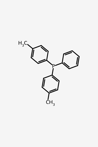 Cc1ccc(P(c2ccccc2)c2ccc(C)cc2)cc1